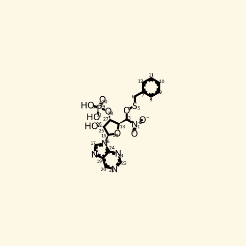 O=[N+]([O-])C(OSCc1ccccc1)[C@H]1O[C@@H](n2cnc3cncnc32)[C@H](O)[C@@H]1OP(=O)(O)O